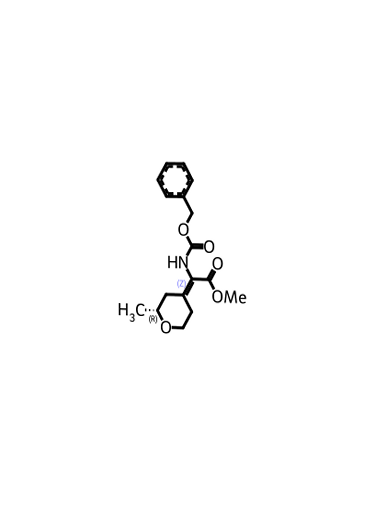 COC(=O)/C(NC(=O)OCc1ccccc1)=C1\CCO[C@H](C)C1